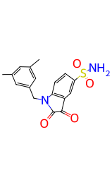 Cc1cc(C)cc(CN2C(=O)C(=O)c3cc(S(N)(=O)=O)ccc32)c1